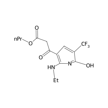 CCCOC(=O)CC(=O)c1cc(C(F)(F)F)c(O)nc1NCC